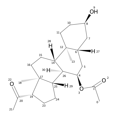 CC(=O)O[C@@H]1C[C@H]2C[C@H](O)CC[C@]2(C)[C@H]2CC[C@]3(C)[C@@H](C(C)=O)CC[C@H]3[C@H]12